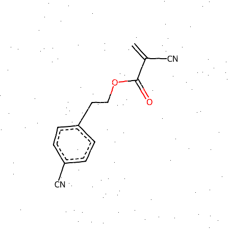 C=C(C#N)C(=O)OCCc1ccc(C#N)cc1